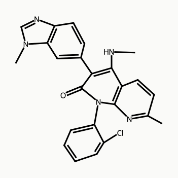 CNc1c(-c2ccc3ncn(C)c3c2)c(=O)n(-c2ccccc2Cl)c2nc(C)ccc12